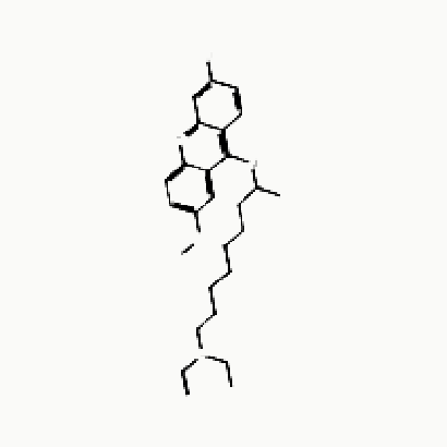 CCN(CC)CCCCCCCC(C)Nc1c2ccc(Cl)cc2nc2ccc(OC)cc12